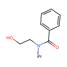 CC(C)N(CCO)C(=O)c1ccccc1